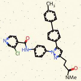 CNC(=O)CCc1cc(-c2ccc(-c3ccc(C)cc3)cc2)n(-c2ccc(NC(=O)c3ccncc3Cl)cc2)n1